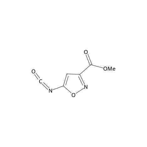 COC(=O)c1cc(N=C=O)on1